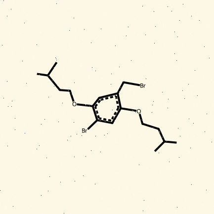 CC(C)CCOc1cc(CBr)c(OCCC(C)C)cc1Br